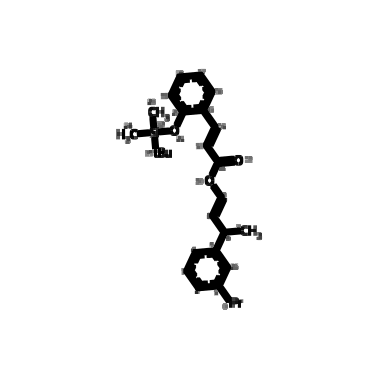 CC(C)c1cccc(C(C)C=COC(=O)C=Cc2ccccc2O[Si](C)(C)C(C)(C)C)c1